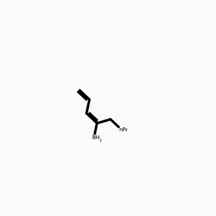 B/C(=C/C=C)CCCC